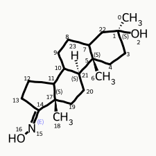 C[C@]1(O)CC[C@@]2(C)C(CCC3C4CC/C(=N\O)[C@@]4(C)CC[C@@H]32)C1